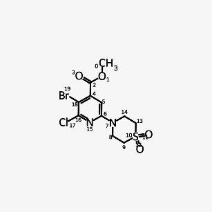 COC(=O)c1cc(N2CCS(=O)(=O)CC2)nc(Cl)c1Br